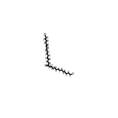 CCCCCCCCCCCC[CH]CC(C)CCCCCCCCCCCCCCCC